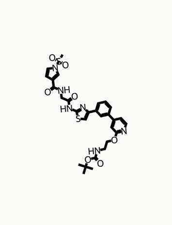 CC(C)(C)OC(=O)NCCOc1cc(-c2cccc(-c3csc(NC(=O)CNC(=O)c4ccn(S(C)(=O)=O)c4)n3)c2)ccn1